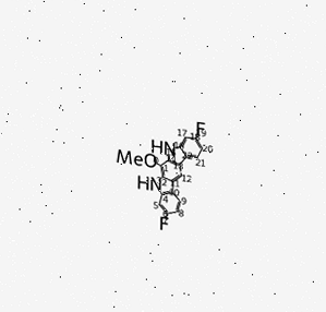 COc1c2[nH]c3cc(F)ccc3c2cc2c1[nH]c1cc(F)ccc12